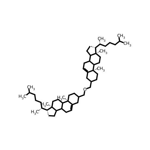 CC(C)CCC[C@@H](C)[C@H]1CCC2C3CC=C4CC(COCC5CC[C@@]6(C)C(=CCC7C6CC[C@@]6(C)C7CC[C@@H]6[C@H](C)CCCC(C)C)C5)CC[C@]4(C)C3CC[C@@]21C